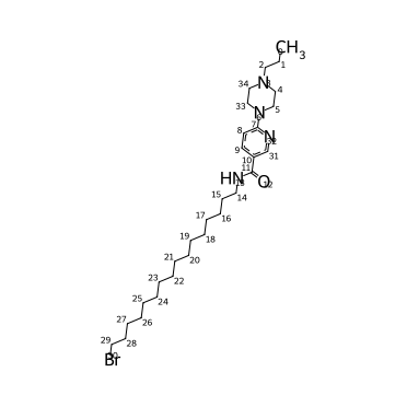 CCCN1CCN(c2ccc(C(=O)NCCCCCCCCCCCCCCCCBr)cn2)CC1